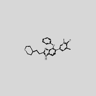 Cc1cc(-c2ccc3[nH]c(CCC4CCSCC4)nc3c2Oc2ccccc2)cn(C)c1=O